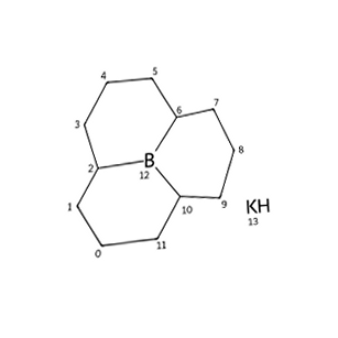 C1CC2CCCC3CCCC(C1)B23.[KH]